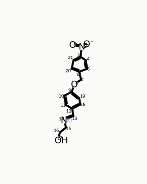 O=[N+]([O-])c1ccc(COc2ccc(/C=N/CCO)cc2)cc1